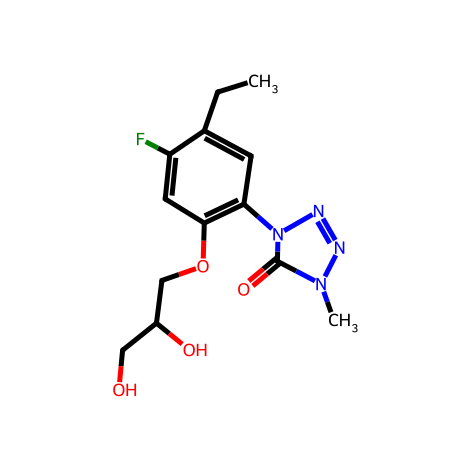 CCc1cc(-n2nnn(C)c2=O)c(OCC(O)CO)cc1F